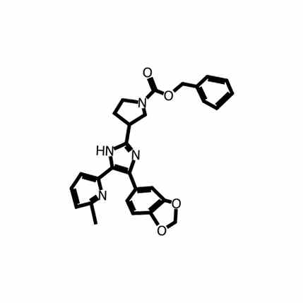 Cc1cccc(-c2[nH]c(C3CCN(C(=O)OCc4ccccc4)C3)nc2-c2ccc3c(c2)OCO3)n1